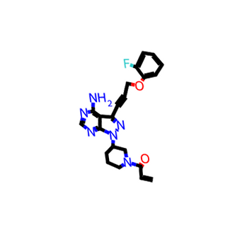 C=CC(=O)N1CCCC(n2nc(C#CCOc3ccccc3F)c3c(N)ncnc32)C1